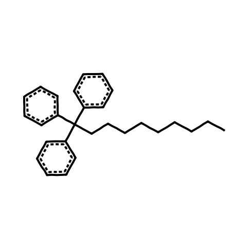 CCCCCCCCCC(c1ccccc1)(c1ccccc1)c1ccccc1